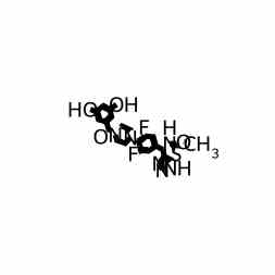 COC(=S)NC(c1cc(F)c(N2CCN(C(=O)c3cc(O)cc(O)c3)CC2)c(F)c1)c1c[nH]nn1